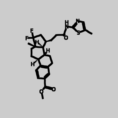 COC(=O)c1ccc2c(c1)CC[C@H]1[C@@H]3[C@H](CCC(=O)Nc4ncc(C)s4)CC(F)(F)[C@@]3(C)CC[C@H]21